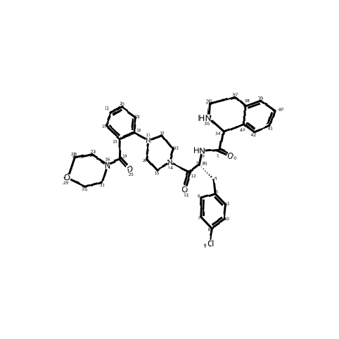 O=C(N[C@H](Cc1ccc(Cl)cc1)C(=O)N1CCN(c2ccccc2C(=O)N2CCOCC2)CC1)C1N[CH]Cc2ccccc21